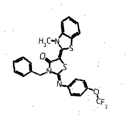 CN1/C(=C2/S/C(=N\c3ccc(OC(F)(F)F)cc3)N(Cc3ccccc3)C2=O)Sc2ccccc21